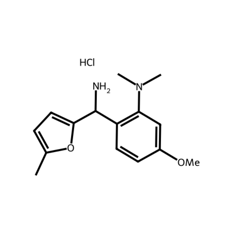 COc1ccc(C(N)c2ccc(C)o2)c(N(C)C)c1.Cl